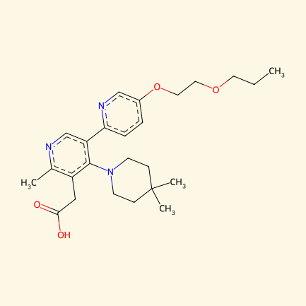 CCCOCCOc1ccc(-c2cnc(C)c(CC(=O)O)c2N2CCC(C)(C)CC2)nc1